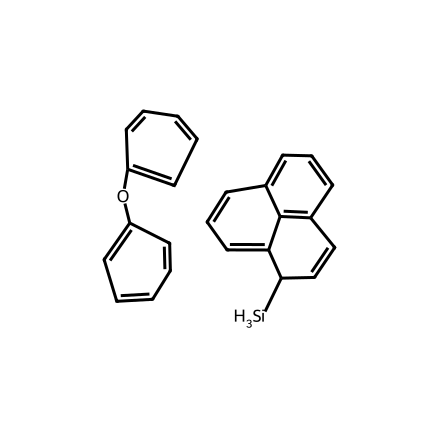 [SiH3]C1C=Cc2cccc3cccc1c23.c1ccc(Oc2ccccc2)cc1